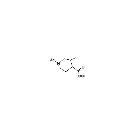 COC(=O)C1CCN(C(C)=O)CC1C